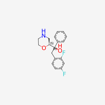 O[C@](Cc1ccc(F)cc1F)(c1ccccc1)[C@@H]1CNCCO1